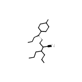 CCCC(CCC)C(C#N)CC[C@@H](CCC)C1CCC(C)CC1